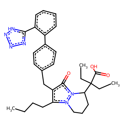 CCCCc1c(Cc2ccc(-c3ccccc3-c3nnn[nH]3)cc2)c(=O)n2n1CCCC2C(CC)(CC)C(=O)O